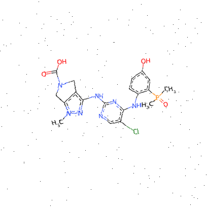 Cn1nc(Nc2ncc(Cl)c(Nc3ccc(O)cc3P(C)(C)=O)n2)c2c1CN(C(=O)O)C2